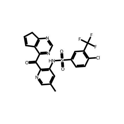 Cc1cnc(C(=O)c2ncnc3c2C=CC3)c(NS(=O)(=O)c2ccc(Cl)c(C(F)(F)F)c2)c1